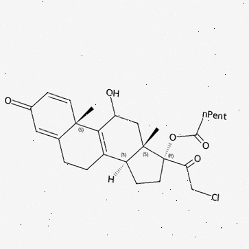 CCCCCC(=O)O[C@]1(C(=O)CCl)CC[C@H]2C3=C(C(O)C[C@@]21C)[C@@]1(C)C=CC(=O)C=C1CC3